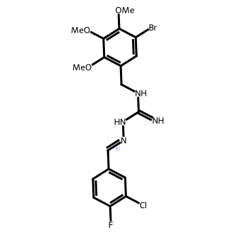 COc1c(Br)cc(CNC(=N)N/N=C/c2ccc(F)c(Cl)c2)c(OC)c1OC